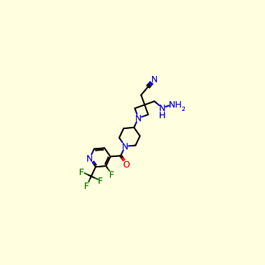 N#CCC1(CNN)CN(C2CCN(C(=O)c3ccnc(C(F)(F)F)c3F)CC2)C1